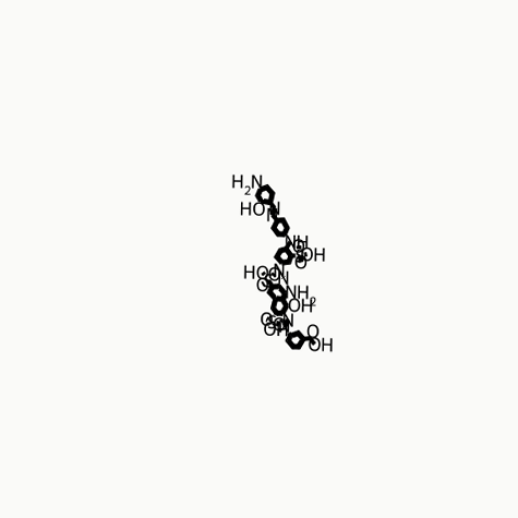 Nc1ccc(N=Nc2ccc(Nc3ccc(N=Nc4c(S(=O)(=O)O)cc5cc(S(=O)(=O)O)c(N=Nc6cccc(C(=O)O)c6)c(O)c5c4N)cc3S(=O)(=O)O)cc2)c(O)c1